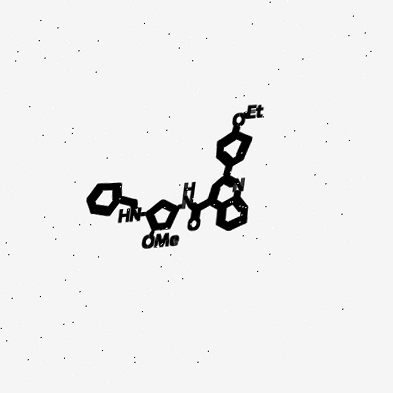 CCOc1ccc(-c2cc(C(=O)N[C@@H]3C[C@H](OC)[C@H](NCc4ccccc4)C3)c3ccccc3n2)cc1